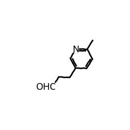 Cc1ccc(CCC=O)cn1